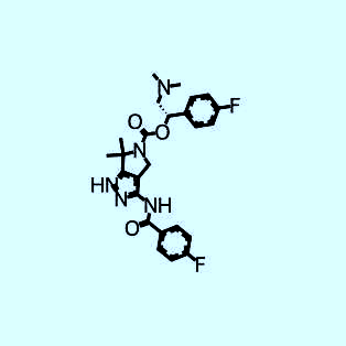 CN(C)C[C@@H](OC(=O)N1Cc2c(NC(=O)c3ccc(F)cc3)n[nH]c2C1(C)C)c1ccc(F)cc1